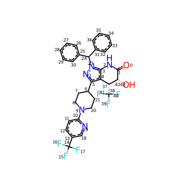 O=C1Nc2c(c(C3CCN(c4ccc(C(F)(F)F)cn4)CC3)nn2C(c2ccccc2)c2ccccc2)[C@@H](C(F)(F)F)[C@H]1O